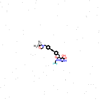 CC1(C)CN(Cc2ccc(C#Cc3ccc(CC(C(=O)NCC(F)F)c4nc[nH]c(=O)c4O)cc3)cc2)CCO1